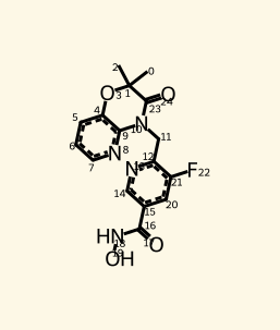 CC1(C)Oc2cccnc2N(Cc2ncc(C(=O)NO)cc2F)C1=O